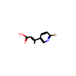 C/C(=C\C(=O)O)c1ccc(Br)nc1